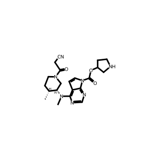 C[C@@H]1CCN(C(=O)CC#N)C[C@@H]1N(C)c1ncnc2c1ccn2C(=O)OC1CCNC1